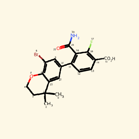 CC1(C)CCOc2c(Br)cc(-c3ccc(C(=O)O)c(F)c3C(N)=O)cc21